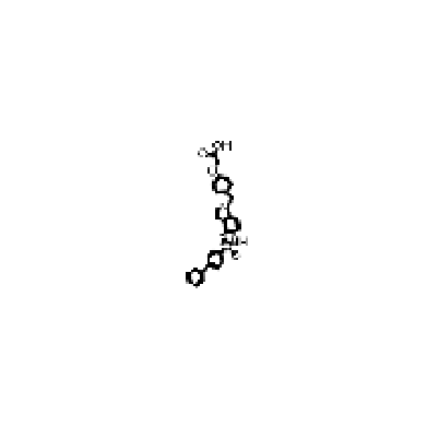 O=C(O)COc1ccc(Cn2ccc3cc(NS(=O)(=O)c4ccc(-c5ccccc5)cc4)ccc32)cc1